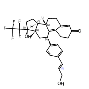 C[C@]12C[C@H](c3ccc(/C=C/CO)cc3)C3=C4CCC(=O)C=C4CC[C@H]3[C@@H]1CC[C@@]2(O)C(F)(F)C(F)(F)F